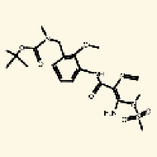 C=N/C(C(=O)Nc1cccc(CN(C)C(=O)OC(C)(C)C)c1OC)=C(/N)N(C)S(C)(=O)=O